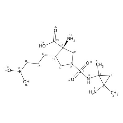 CC1(N)CC1(C)NS(=O)(=O)N1C[C@H](CCCB(O)O)[C@](N)(C(=O)O)C1